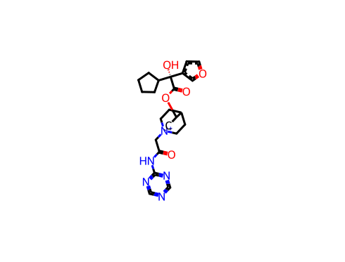 O=C(C[N+]12CCC(CC1)C(OC(=O)[C@](O)(c1ccoc1)C1CCCC1)C2)Nc1ncncn1